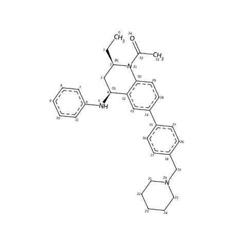 CC[C@@H]1C[C@H](Nc2ccccc2)c2cc(-c3ccc(CN4CCCCC4)cc3)ccc2N1C(C)=O